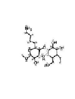 CCC1C(CO)O[C@H](OC2C(CSCCN)O[C@H](OC)C(O)[C@H]2O)C(O)[C@H]1O